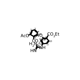 CC(=O)Oc1ccccc1C(=O)O.CCOC(=O)c1ccc(NC(=N)N)cc1O